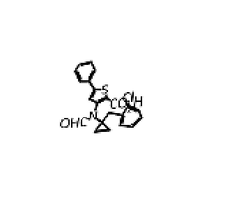 O=CN(c1cc(-c2ccccc2)sc1C(=O)O)C1(Cc2ccccc2Cl)CC1